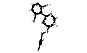 CC#CCOc1cc(-c2c(F)cccc2F)ncn1